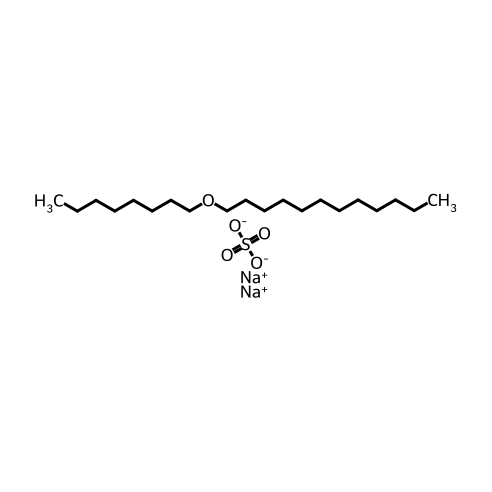 CCCCCCCCCCCCOCCCCCCCC.O=S(=O)([O-])[O-].[Na+].[Na+]